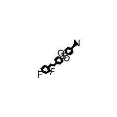 N#Cc1ccc(S(=O)(=O)c2ccc(CCc3ccc(F)cc3F)cc2)cc1